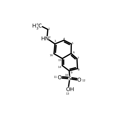 CCNc1ccc2ccc(S(=O)(=O)O)cc2c1